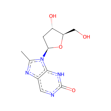 Cc1nc2cnc(=O)[nH]c2n1[C@H]1C[C@H](O)[C@@H](CO)O1